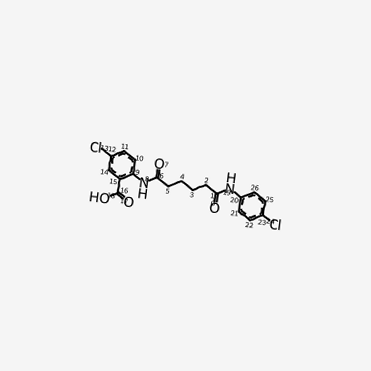 O=C(CCCCC(=O)Nc1ccc(Cl)cc1C(=O)O)Nc1ccc(Cl)cc1